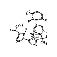 C=C1/C(=C\C(=C/N=O)c2c(F)ccc(Cl)c2F)CCC1(O)c1ncc(-c2csc(C(=O)O)c2F)[nH]1